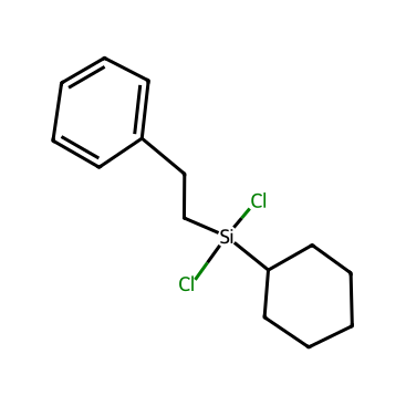 Cl[Si](Cl)(CCc1ccccc1)C1CCCCC1